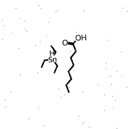 CCCCCCCC(=O)O.C[CH2][SnH]([CH2]C)[CH2]C